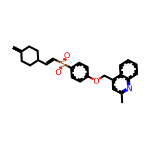 C=C1CCC(C=CS(=O)(=O)c2ccc(OCc3cc(C)nc4ccccc34)cc2)CC1